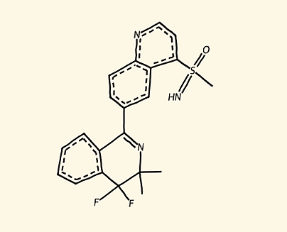 CC1(C)N=C(c2ccc3nccc(S(C)(=N)=O)c3c2)c2ccccc2C1(F)F